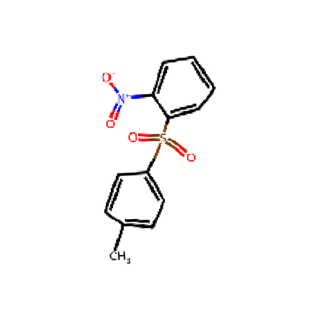 Cc1ccc(S(=O)(=O)c2ccccc2[N+](=O)[O-])cc1